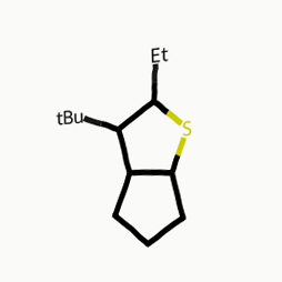 CCC1SC2CCCC2C1C(C)(C)C